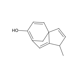 CC1C=CC23C=CC(O)=C(C=C12)C3